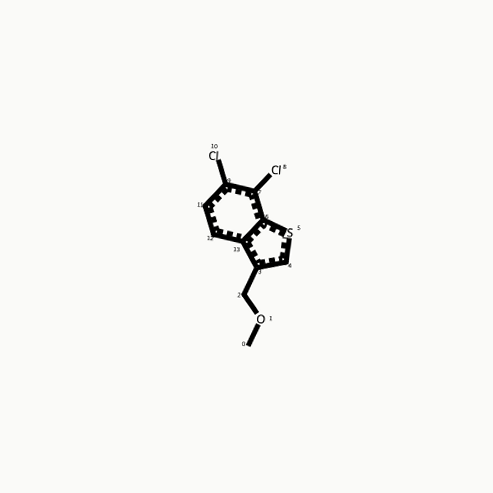 COCc1csc2c(Cl)c(Cl)ccc12